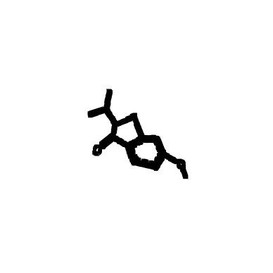 COc1ccc2c(c1)CC(C(C)C)C2=O